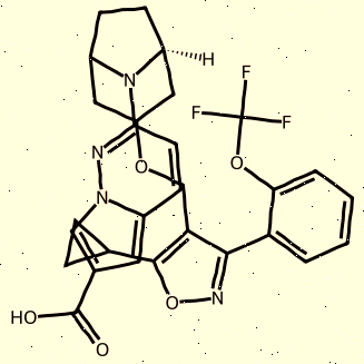 O=C(O)c1cc2ccc(N3C4CC[C@H]3CC(OCc3c(-c5ccccc5OC(F)(F)F)noc3C3CC3)C4)nn2c1